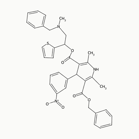 CC1=C(C(=O)OCc2ccccc2)C(c2cccc([N+](=O)[O-])c2)C(C(=O)OC(CN(C)Cc2ccccc2)c2cccs2)=C(C)N1